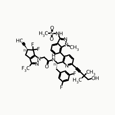 C#C[C@@H]1Cc2c(C(F)(F)F)nn(CC(=O)N[C@@H](Cc3cc(F)cc(F)c3)c3nc(C#CC(C)(C)CO)ccc3-c3cccc4c(NS(C)(=O)=O)nn(C)c34)c2C1(F)F